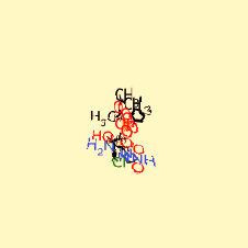 CC(C)OC(=O)[C@H](C)OP(=O)(OC[C@H]1O[C@@H](n2ncc(=O)[nH]c2=O)C(N)(C#CCl)[C@H]1O)Oc1ccccc1